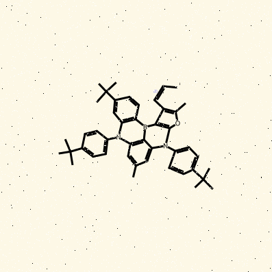 C/C=C\c1c(C)oc2c1B1c3ccc(C(C)(C)C)cc3N(c3ccc(C(C)(C)C)cc3)c3cc(C)cc(c31)N2c1ccc(C(C)(C)C)cc1